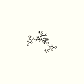 COC(=O)[C@H](NC(=O)OCc1oc(=O)oc1C)C(C)(C)SC(=O)OCc1oc(=O)oc1C